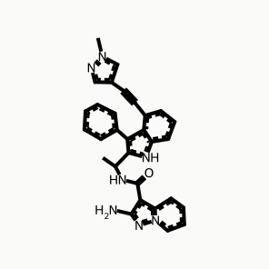 CC(NC(=O)c1c(N)nn2ccccc12)c1[nH]c2cccc(C#Cc3cnn(C)c3)c2c1-c1ccccc1